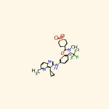 Cc1ccc2ncc(Nc3ccc([C@H](N(C)C(=O)C4CCS(=O)(=O)CC4)C(F)(F)F)cc3)c(C3CC3)c2n1